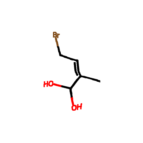 CC(=CCBr)C(O)O